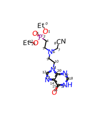 CCOP(=O)(CCN(CC#N)CCn1cnc2c(=O)[nH]cnc21)OCC